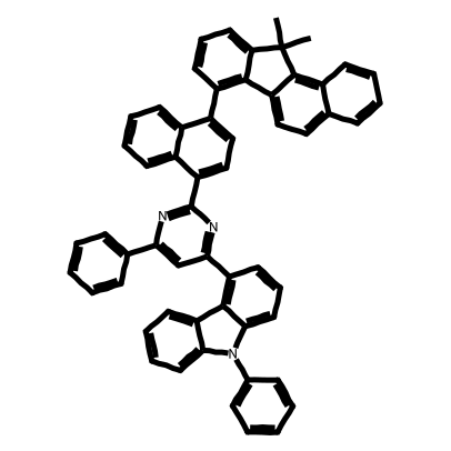 CC1(C)c2cccc(-c3ccc(-c4nc(-c5ccccc5)cc(-c5cccc6c5c5ccccc5n6-c5ccccc5)n4)c4ccccc34)c2-c2ccc3ccccc3c21